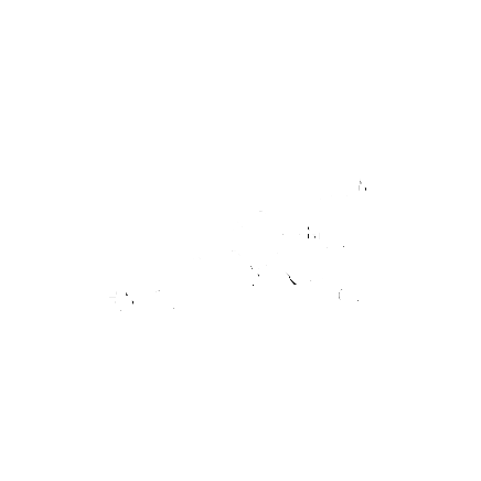 CC(C)C[C@@H](NC(=O)c1ccc(N)cc1)C(=O)NCC#N